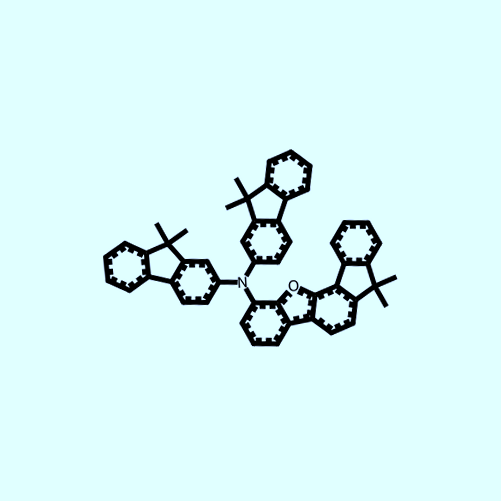 CC1(C)c2ccccc2-c2ccc(N(c3ccc4c(c3)C(C)(C)c3ccccc3-4)c3cccc4c3oc3c5c(ccc34)C(C)(C)c3ccccc3-5)cc21